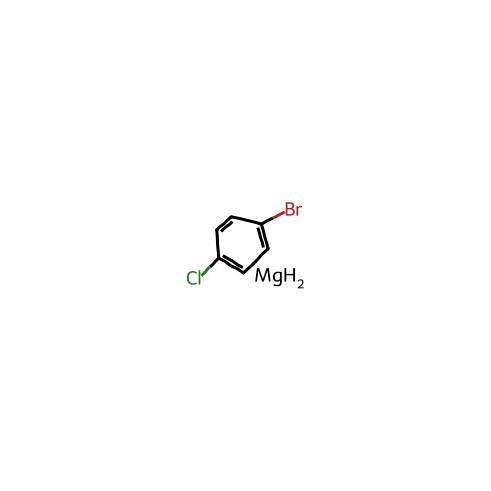 Clc1ccc(Br)cc1.[MgH2]